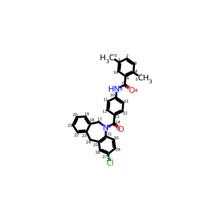 Cc1ccc(C)c(C(=O)Nc2ccc(C(=O)N3Cc4ccccc4Cc4cc(Cl)ccc43)cc2)c1